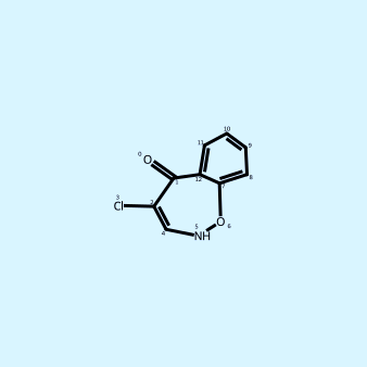 O=C1C(Cl)=CNOc2ccccc21